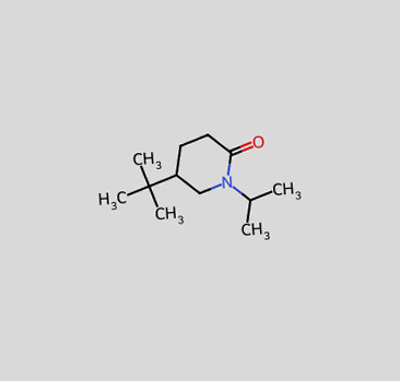 CC(C)N1CC(C(C)(C)C)CCC1=O